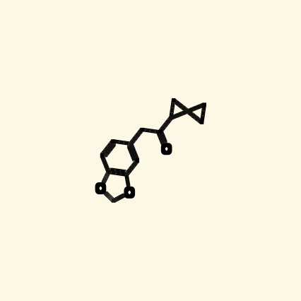 O=C(Cc1ccc2c(c1)OCO2)C1CC12CC2